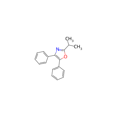 CC(C)c1nc(-c2ccccc2)c(-c2ccccc2)o1